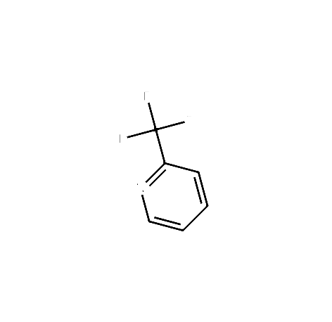 FC(F)(F)c1[c][c]ccn1